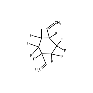 C=CC1(F)C(F)(F)C(F)(F)C(F)(C=C)C(F)(F)C1(F)F